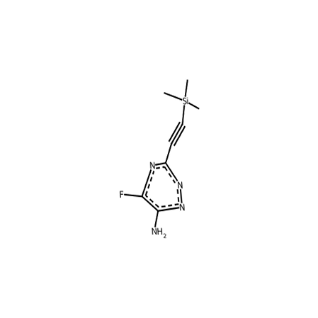 C[Si](C)(C)C#Cc1nnc(N)c(F)n1